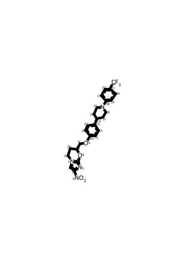 O=[N+]([O-])c1cn2c(n1)OC(COc1ccc(C3CCN(c4ccc(C(F)(F)F)cc4)CC3)cc1)CC2